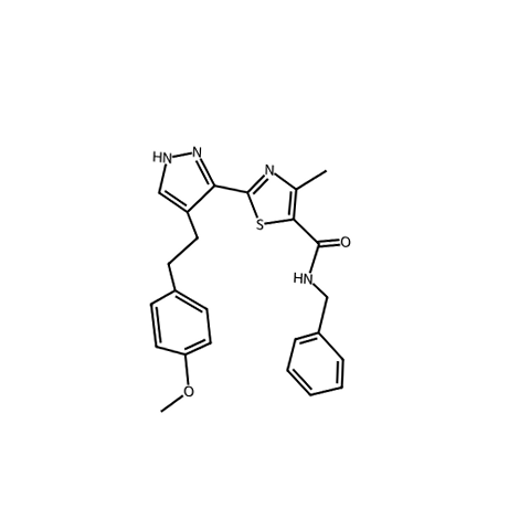 COc1ccc(CCc2c[nH]nc2-c2nc(C)c(C(=O)NCc3ccccc3)s2)cc1